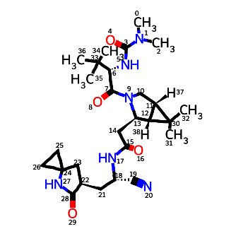 CN(C)C(=O)N[C@H](C(=O)N1C[C@H]2[C@@H]([C@H]1CC(=O)N[C@H](C#N)C[C@@H]1CC3(CC3)NC1=O)C2(C)C)C(C)(C)C